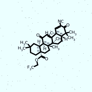 [C-]#[N+]C1=C[C@]2(C)C3=CC(=O)[C@@H]4[C@@H]5CC(C)(C)CC[C@]5(C(=O)OCC(F)(F)F)CC[C@@]4(C)[C@]3(C)CC[C@H]2C(C)(C)C1=O